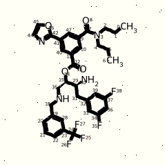 CCCN(CCC)C(=O)c1cc(C(=O)O[C@H](CNCc2cccc(C(F)(F)F)c2)[C@@H](N)Cc2cc(F)cc(F)c2)cc(-c2ncco2)c1